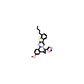 CCCCc1cccc2c3c(sc12)=NC(c1ccc(OC)cc1C1CC1)N(Cc1cnco1)C=3